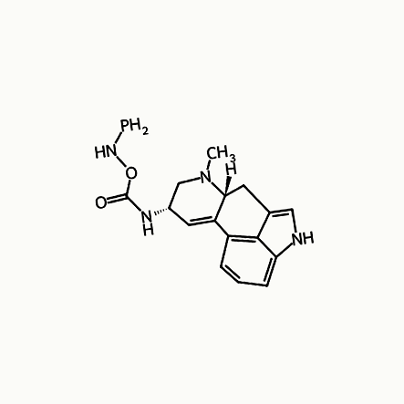 CN1C[C@@H](NC(=O)ONP)C=C2c3cccc4[nH]cc(c34)C[C@H]21